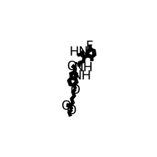 CCOC(=O)CCCCOc1ccc2cc(C(=O)NCCc3c(C)[nH]c4c(F)ccc(C)c34)[nH]c2c1